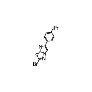 CC(C)c1ccc(-c2cn3nc(Br)sc3n2)cc1